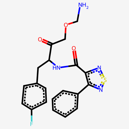 NCOCC(=O)C(Cc1ccc(F)cc1)NC(=O)c1nsnc1-c1ccccc1